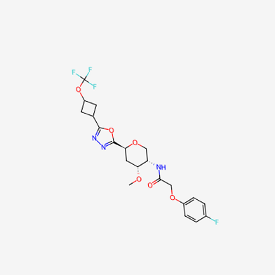 CO[C@@H]1C[C@@H](c2nnc(C3CC(OC(F)(F)F)C3)o2)OC[C@@H]1NC(=O)COc1ccc(F)cc1